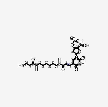 O=C(/C=C/c1cn([C@H]2CC(O[PH](=O)O)[C@@H](CO)O2)c(=O)[nH]c1=O)NCCCCCCNC(=O)CCS